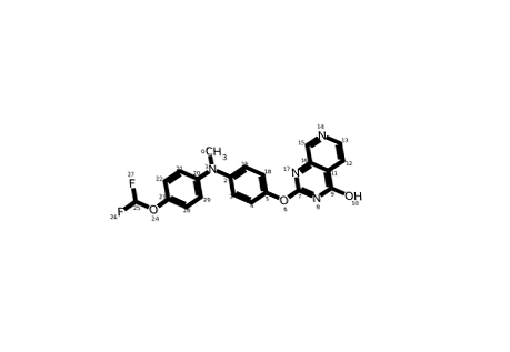 CN(c1ccc(Oc2nc(O)c3ccncc3n2)cc1)c1ccc(OC(F)F)cc1